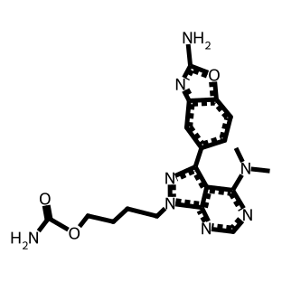 CN(C)c1ncnc2c1c(-c1ccc3oc(N)nc3c1)nn2CCCCOC(N)=O